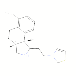 COc1cccc2c1CC[C@H]1CNC(CCN3C=CSC3)[C@@H]21